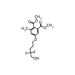 COC(=O)c1cc(OCCCC(F)(F)CO)cc(C)c1C(=O)OC